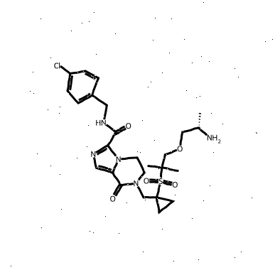 C[C@H](N)COCC(C)(C)S(=O)(=O)C1(CN2CCn3c(cnc3C(=O)NCc3ccc(Cl)cc3)C2=O)CC1